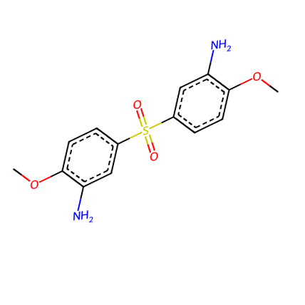 COc1ccc(S(=O)(=O)c2ccc(OC)c(N)c2)cc1N